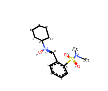 CCN(CC)S(=O)(=O)c1ccccc1/C=[N+](\[O-])C1CCCCC1